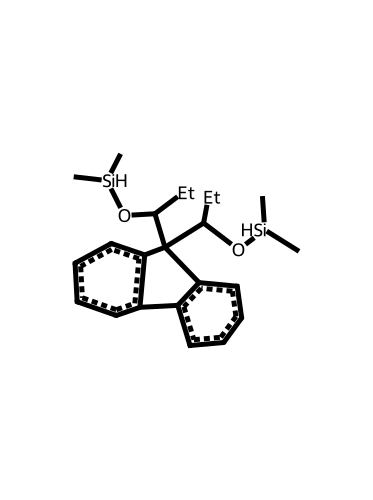 CCC(O[SiH](C)C)C1(C(CC)O[SiH](C)C)c2ccccc2-c2ccccc21